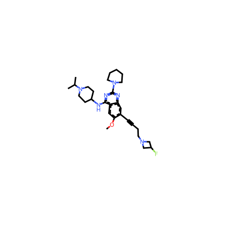 COc1cc2c(NC3CCN(C(C)C)CC3)nc(N3CCCCC3)nc2cc1C#CCCN1CC(F)C1